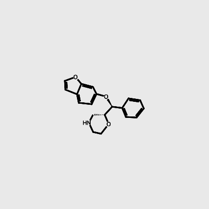 c1ccc([C@H](Oc2ccc3ccoc3c2)[C@H]2CNCCO2)cc1